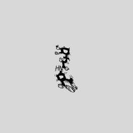 COc1cccc(C(C)(C)CC(=O)C(=O)Nc2ccc3c(=O)onc(C)c3c2)c1Br